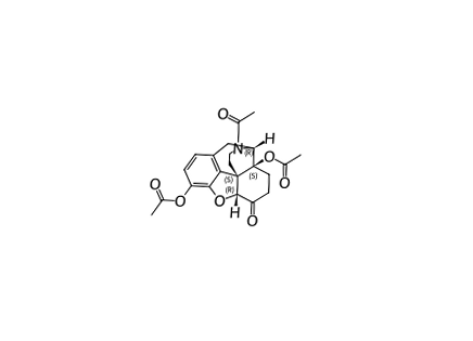 CC(=O)Oc1ccc2c3c1O[C@H]1C(=O)CC[C@@]4(OC(C)=O)[C@@H](C2)N(C(C)=O)CC[C@]314